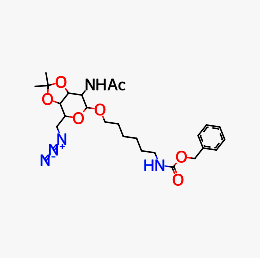 CC(=O)NC1C(OCCCCCCNC(=O)OCc2ccccc2)OC(CN=[N+]=[N-])C2OC(C)(C)OC12